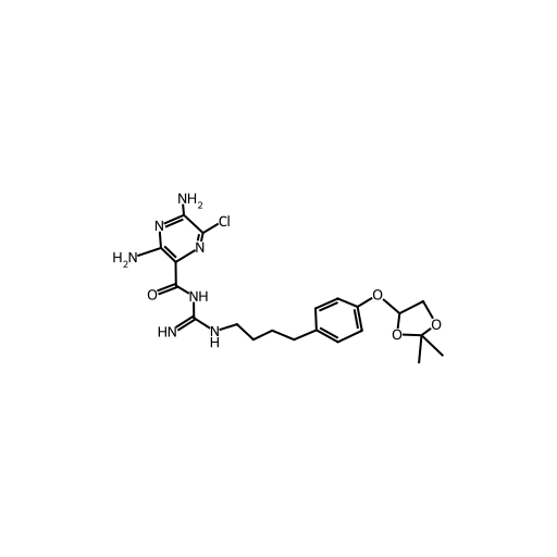 CC1(C)OCC(Oc2ccc(CCCCNC(=N)NC(=O)c3nc(Cl)c(N)nc3N)cc2)O1